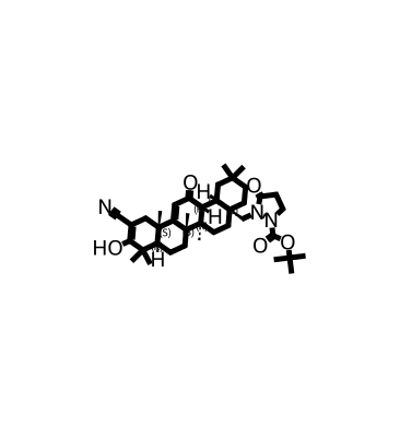 CC1(C)CC[C@]2(CN3C(=O)CCN3C(=O)OC(C)(C)C)CC[C@]3(C)[C@H](C(=O)C=C4[C@@]5(C)CC(C#N)=C(O)C(C)(C)[C@@H]5CC[C@]43C)[C@@H]2C1